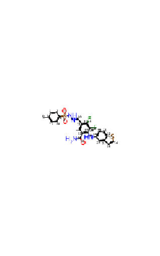 Cc1ccc(S(=O)(=O)N/N=C/c2cc(C(N)=O)c(Nc3ccc4sccc4c3)c(F)c2F)cc1